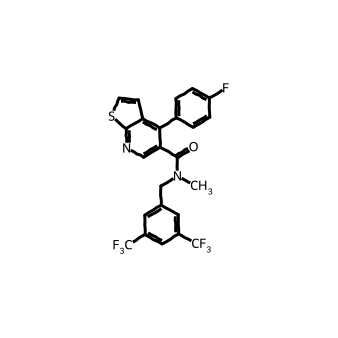 CN(Cc1cc(C(F)(F)F)cc(C(F)(F)F)c1)C(=O)c1cnc2sccc2c1-c1ccc(F)cc1